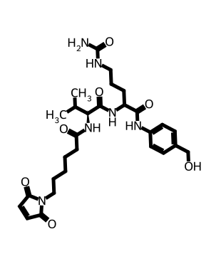 CC(C)[C@H](NC(=O)CCCCCN1C(=O)C=CC1=O)C(=O)NC(CCCNC(N)=O)C(=O)Nc1ccc(CO)cc1